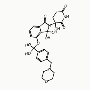 O=C1CCC(O)(N2C(=O)c3cccc(OC(O)(O)c4ccc(CN5CCOCC5)cc4)c3C2(O)O)C(=O)N1